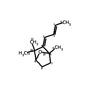 CC=CC=C1C2(C)CCC(O2)C1(C)C